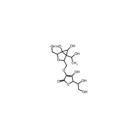 CC(O)C12C(COC3=C(O)C(C(O)CO)OC3=O)OC(CO)C1(O)C2O